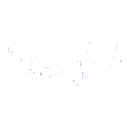 CN(C)C/C=C/C(=O)Nc1ccc(-c2sc3ncnc(N[C@H](COCc4cccc(F)c4)c4ccccc4)c3c2Cl)cc1